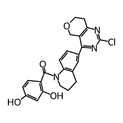 O=C(c1ccc(O)cc1O)N1CCCc2cc(-c3nc(Cl)nc4c3COCC4)ccc21